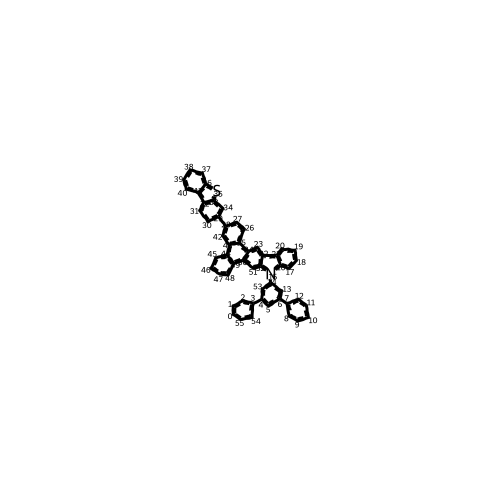 c1ccc(-c2cc(-c3ccccc3)cc(-n3c4ccccc4c4cc5c6ccc(-c7ccc8c(c7)sc7ccccc78)cc6c6ccccc6c5cc43)c2)cc1